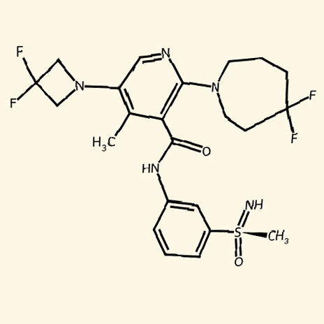 Cc1c(N2CC(F)(F)C2)cnc(N2CCCC(F)(F)CC2)c1C(=O)Nc1cccc([S@](C)(=N)=O)c1